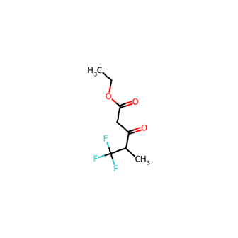 CCOC(=O)CC(=O)C(C)C(F)(F)F